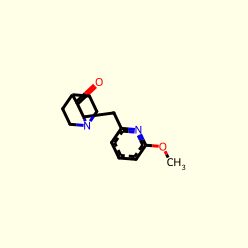 COc1cccc(CC2C(=O)C3CCN2CC3)n1